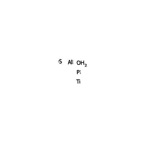 O.[Al].[P].[S].[Ti]